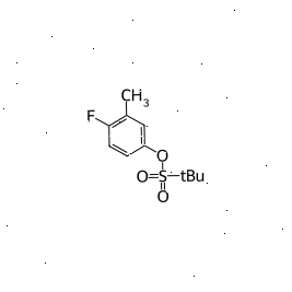 Cc1cc(OS(=O)(=O)C(C)(C)C)ccc1F